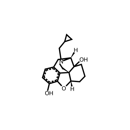 Oc1ccc2c3c1O[C@H]1CCCC4(O)[C@@H](C2)N(CC2CC2)CC[C@]314